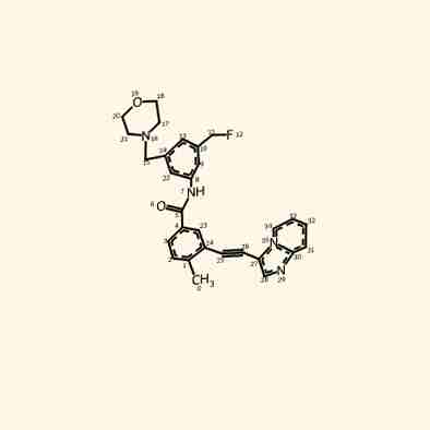 Cc1ccc(C(=O)Nc2cc(CF)cc(CN3CCOCC3)c2)cc1C#Cc1cnc2ccccn12